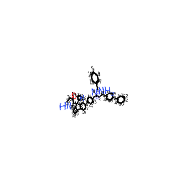 NC(/C=C(\N=C\c1ccccc1)c1ccc(-c2ccc3c(c2)C2(C4=C(C=CNC4)Oc4ccncc42)c2ccccc2-3)cc1)c1ccc(-c2ccccc2)cc1